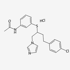 CC(=O)Nc1cccc(SC(CCc2ccc(Cl)cc2)Cn2ccnc2)c1.Cl